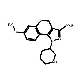 CCOC(=O)c1nn(C2CCCNC2)c2c1CSc1cc(OC(F)(F)F)ccc1-2